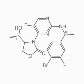 C[C@H](Nc1ncc(F)c(N2C(=O)OCC2[C@@H](C)O)n1)c1ccc(Br)c(F)c1